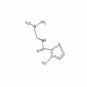 Cc1ccsc1C(=O)NCN(C)C